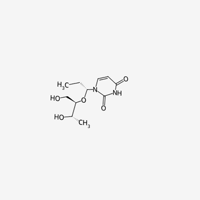 CC[C@@H](O[C@H](CO)[C@H](C)O)n1ccc(=O)[nH]c1=O